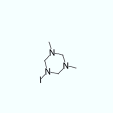 CN1CN(C)CN(I)C1